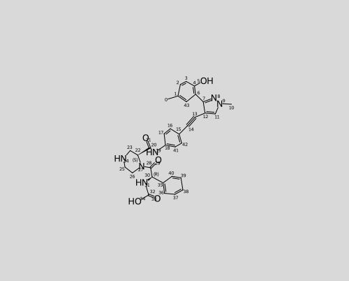 Cc1ccc(O)c(-c2nn(C)cc2C#Cc2ccc(NC(=O)[C@@H]3CNCCN3C(=O)[C@H](NC(=O)O)c3ccccc3)cc2)c1